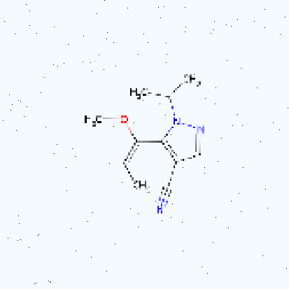 C/C=C(/OC)c1c(C#N)cnn1C(C)C